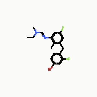 CCN(C)C=Nc1cc(F)cc(Cc2ccc(Br)cc2F)c1C